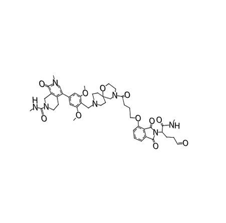 CNC(=O)C(CCC=O)N1C(=O)c2cccc(OCCCC(=O)N3CCOC4(CCN(Cc5c(OC)cc(-c6cn(C)c(=O)c7c6CCN(C(=O)NC)C7)cc5OC)CC4)C3)c2C1=O